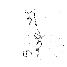 O=C1CCC(C/C=C/CCS(=O)(=O)NC2(c3ccc(F)c(OCC4CCC4)c3)CC2)C(=O)N1